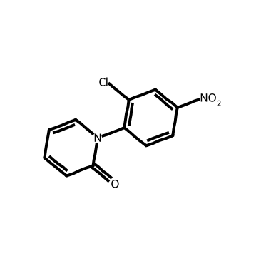 O=c1ccccn1-c1ccc([N+](=O)[O-])cc1Cl